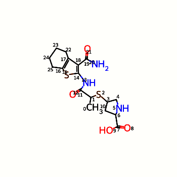 CC(SC1CNC(C(=O)O)C1)C(=O)Nc1sc2c(c1C(N)=O)CCCC2